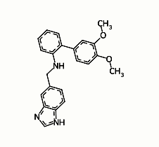 COc1ccc(-c2ccccc2NCc2ccc3[nH]cnc3c2)cc1OC